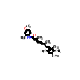 COc1cc(C)c(/C=C/C(C)=C/C=C/C(C)=C/C(=O)Nc2ccc(OC(F)(F)F)cc2C)c(C)c1C